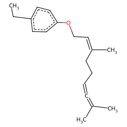 CCc1ccc(OCC=C(C)CCC=C=C(C)C)cc1